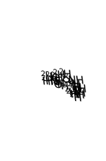 [2H]c1[nH]c2c([2H])c([2H])c(C([2H])([2H])S(=O)(=O)NC([2H])([2H])[2H])c([2H])c2c1CC([2H])([2H])N(C([2H])([2H])[2H])C([2H])([2H])[2H]